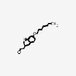 CCCCCCCOc1ccc2cc(CC=O)cnc2c1